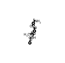 CCOC(=O)C(CCNC(=O)OCc1ccccc1)Oc1ccc(C(=O)CN2Cc3cc(C(N)=S)ccc3C2=O)cc1